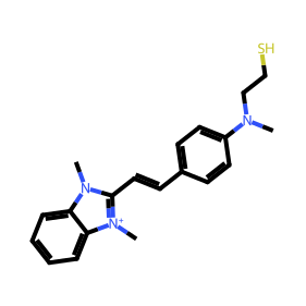 CN(CCS)c1ccc(/C=C/c2n(C)c3ccccc3[n+]2C)cc1